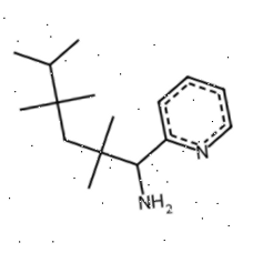 CC(C)C(C)(C)CC(C)(C)C(N)c1ccccn1